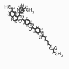 C=CC(=O)OCCCCCC(=O)Oc1ccc(C(=O)Oc2ccc(C(=O)OC(c3ccnc4ccc(CO)cc34)[C@@H]3CC4CCN3C[C@@H]4C=C)cc2)cc1